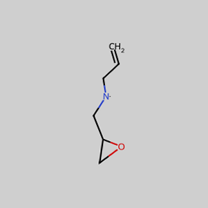 C=CC[N]CC1CO1